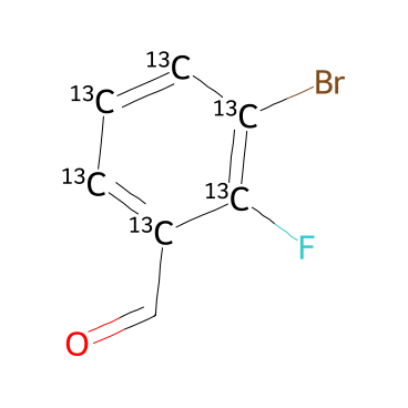 O=C[13c]1[13cH][13cH][13cH][13c](Br)[13c]1F